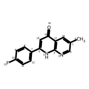 Cc1cnc2[nH]c(-c3ccc(F)cc3)cc(=O)c2c1